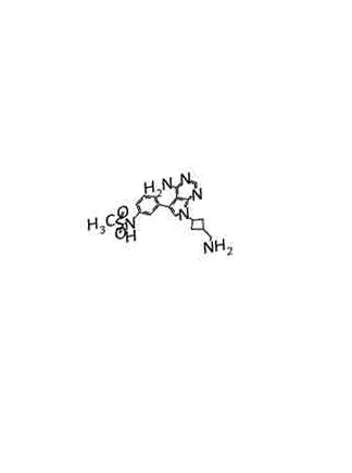 CS(=O)(=O)Nc1cccc(-c2cn(C3CC(CN)C3)c3ncnc(N)c23)c1